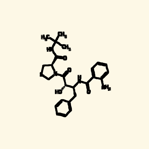 CC(C)(C)NC(=O)[C@@H]1CSCN1C(=O)[C@@H](O)[C@H](Cc1ccccc1)NC(=O)c1ccccc1N